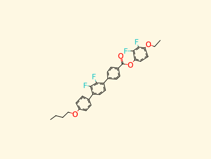 CCCCOc1ccc(-c2ccc(-c3ccc(C(=O)Oc4ccc(OCC)c(F)c4F)cc3)c(F)c2F)cc1